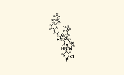 O=C(C=CCN1CCC(SC2CCOC2=O)CC1)Nc1cc2c(Nc3ccc(F)c(Cl)c3)ncnc2cc1OCC1CCCO1